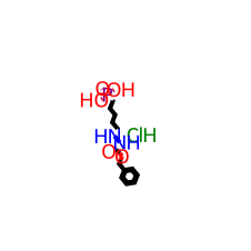 Cl.O=C(NNCCCCCP(=O)(O)O)OCc1ccccc1